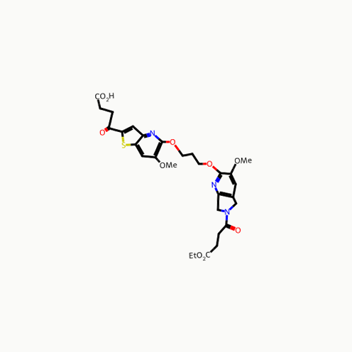 CCOC(=O)CCC(=O)N1Cc2cc(OC)c(OCCCOc3nc4cc(C(=O)CCC(=O)O)sc4cc3OC)nc2C1